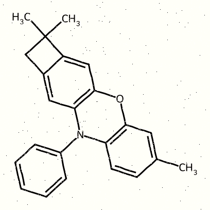 Cc1ccc2c(c1)Oc1cc3c(cc1N2c1ccccc1)CC3(C)C